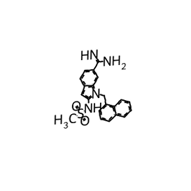 CS(=O)(=O)Nc1cc2ccc(C(=N)N)cc2n1Cc1cccc2ccccc12